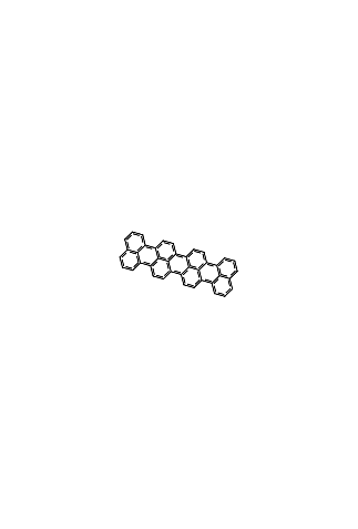 c1cc2cccc3c4ccc5c6ccc7c8cccc9cccc(c%10ccc(c%11ccc(c(c1)c23)c4c%115)c6c%107)c98